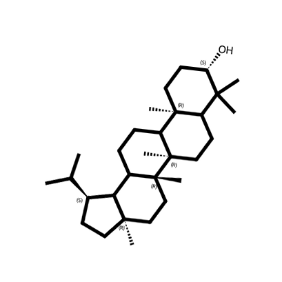 CC(C)[C@@H]1CC[C@]2(C)CC[C@]3(C)C(CCC4[C@@]5(C)CC[C@H](O)C(C)(C)C5CC[C@]43C)C12